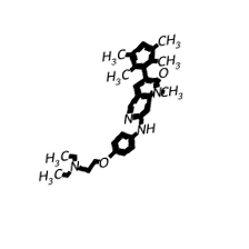 CCN(CC)CCOc1ccc(Nc2cc3c(cn2)cc(-c2c(C)c(C)cc(C)c2C)c(=O)n3C)cc1